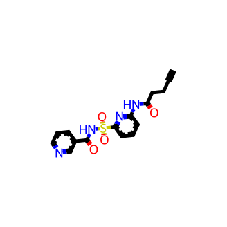 C#CCCC(=O)Nc1cccc(S(=O)(=O)NC(=O)c2cccnc2)n1